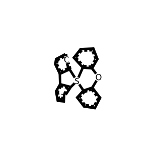 c1ccc2c(c1)Oc1ccccc1S21c2ccccc2-c2ccccc21